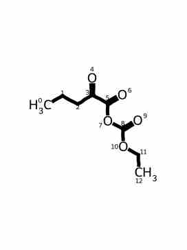 CCCC(=O)C(=O)OC(=O)OCC